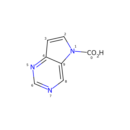 O=C(O)n1ccc2ncncc21